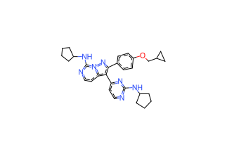 c1cc(-c2c(-c3ccc(OCC4CC4)cc3)nn3c(NC4CCCC4)nccc23)nc(NC2CCCC2)n1